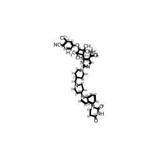 CC1(C)C(Oc2cnc(C#N)c(Cl)c2)C(C)(C)C1c1nc(N2CCC(CN3CCC(n4ccc5c(N6CCC(=O)NC6=O)cccc54)CC3)CC2)ncc1C(N)=O